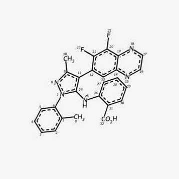 Cc1ccccc1-n1nc(C)c(-c2cc3nccnc3c(F)c2F)c1Nc1ccccc1C(=O)O